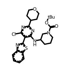 CC(C)(C)OC(=O)N1CCCC(Nc2nc(C3CCOCC3)nc(Cl)c2-c2nc3ccccc3s2)C1